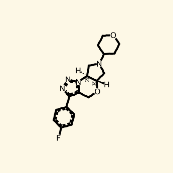 Fc1ccc(-c2nnn3c2CO[C@H]2CN(C4CCOCC4)C[C@@H]23)cc1